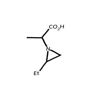 CCC1CN1C(C)C(=O)O